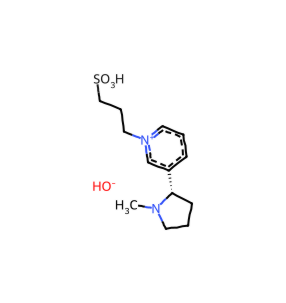 CN1CCC[C@H]1c1ccc[n+](CCCS(=O)(=O)O)c1.[OH-]